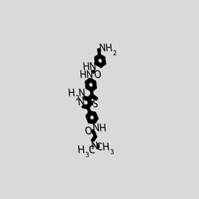 CN(C)CCC(=O)Nc1ccc(-c2cnc(N)c3c(-c4ccc(NC(=O)Nc5cccc(CN)c5)cc4)csc23)cc1